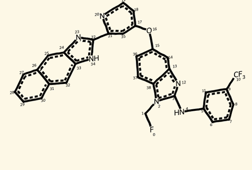 FCn1c(Nc2cccc(C(F)(F)F)c2)nc2cc(Oc3ccnc(-c4nc5cc6ccccc6cc5[nH]4)c3)ccc21